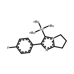 CCC[CH2][Sn]([CH2]CCC)([CH2]CCC)[c]1c(-c2ccc(F)cc2)nc2n1CCC2